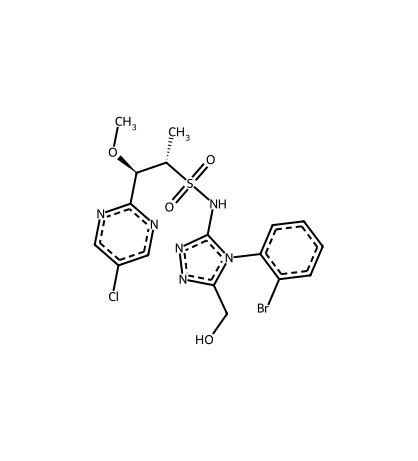 CO[C@H](c1ncc(Cl)cn1)[C@H](C)S(=O)(=O)Nc1nnc(CO)n1-c1ccccc1Br